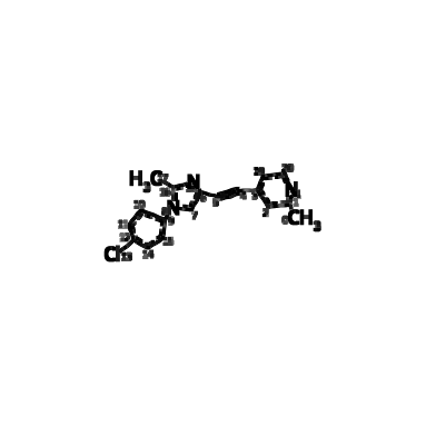 Cc1cc(C#Cc2cn(-c3ccc(Cl)cc3)c(C)n2)ccn1